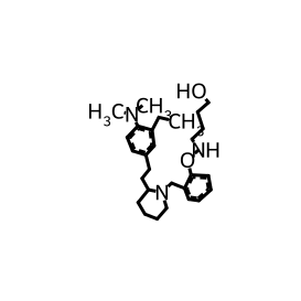 CCc1cc(CCC2CCCCN2Cc2ccccc2ONCCCCO)ccc1N(C)C